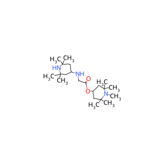 CN1C(C)(C)CC(OC(=O)CNC2CC(C)(C)NC(C)(C)C2)CC1(C)C